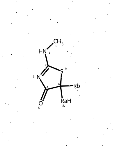 CNC1=NC(=O)[C]([Rb])([RaH])S1